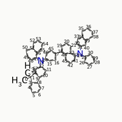 CC1(C)c2ccccc2-c2ccc(N(c3ccc(-c4cccc5c(N(c6ccccc6)c6ccc7ccccc7c6)cccc45)cc3)c3cccc4ccccc34)cc21